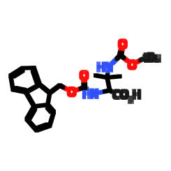 CC(C)(C)OC(=O)NC(C)(C)C(NC(=O)OCC1c2ccccc2-c2ccccc21)C(=O)O